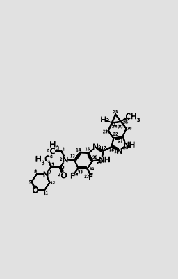 CCN(C(=O)C(C)N1CCOCC1)c1cc2nc(-c3n[nH]c4c3C[C@@H]3C[C@]3(C)C4)[nH]c2c(F)c1F